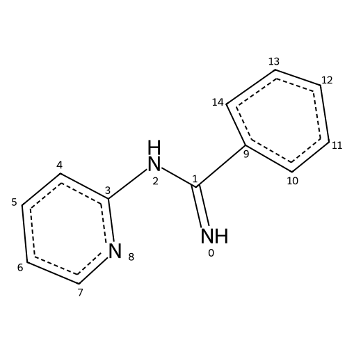 N=C(Nc1ccccn1)c1ccccc1